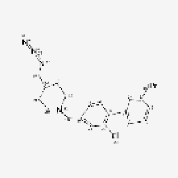 CC(C)c1cccc(-c2ccc(CN3CCC(CN=[N+]=[N-])CC3)cc2Cl)c1